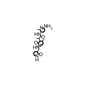 Cc1ccn(NCc2ccc[nH]c2=O)c(=O)c1C(C)C(=O)Nc1ccc(N)nc1C